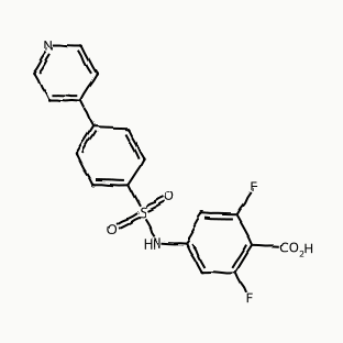 O=C(O)c1c(F)cc(NS(=O)(=O)c2ccc(-c3ccncc3)cc2)cc1F